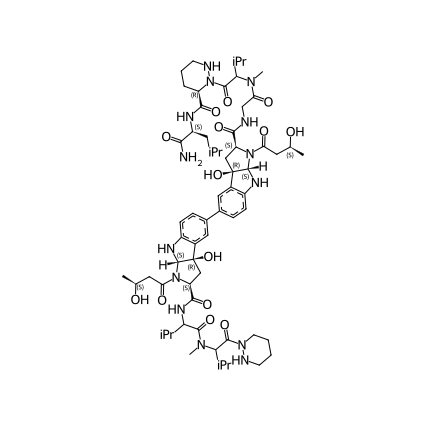 CC(C)C[C@H](NC(=O)[C@H]1CCCNN1C(=O)C(C(C)C)N(C)C(=O)CNC(=O)[C@@H]1C[C@@]2(O)c3cc(-c4ccc5c(c4)[C@]4(O)C[C@@H](C(=O)NC(C(=O)N(C)C(C(=O)N6CCCCN6)C(C)C)C(C)C)N(C(=O)C[C@H](C)O)[C@@H]4N5)ccc3N[C@H]2N1C(=O)C[C@H](C)O)C(N)=O